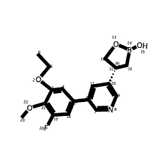 CCOc1cc(-c2cncc([C@@H]3COB(O)C3)c2)cc(F)c1OC